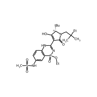 CCOP1(=O)N=C(C2=C(O)[C@H](C(C)(C)C)N(CC(C)(C)CC)C2=O)Nc2ccc(NS(C)(=O)=O)cc21